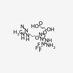 CNC(=NC#N)NCCCOc1nccc(NC(N)=NCC(F)(F)F)n1.O=C(O)C=CC(=O)O